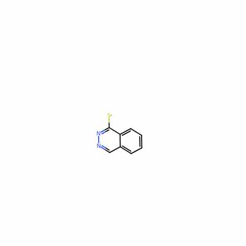 [S]c1nncc2ccccc12